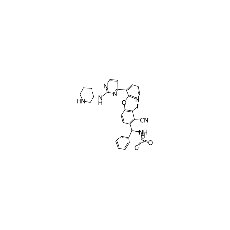 N#Cc1c([C@@H](N[SH](=O)=O)c2ccccc2)ccc(Oc2ncccc2-c2ccnc(N[C@H]3CCCNC3)n2)c1F